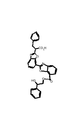 O=C(OCC(O)c1ccccc1)c1cccc2nc(-c3cccc4nc(C(Cc5ccccc5)C(=O)O)oc34)oc12